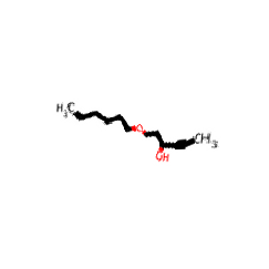 CC#CC(O)CCOCCCCCC